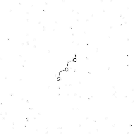 COCOC[S]